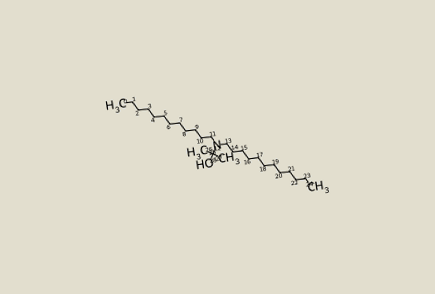 CCCCCCCCCCCCN(CCCCCCCCCCCC)C(C)(C)O